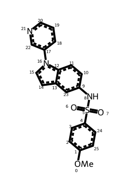 COc1ccc(S(=O)(=O)Nc2ccc3c(ccn3-c3cccnc3)c2)cc1